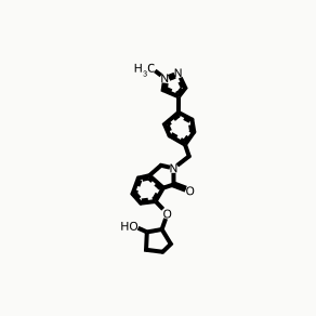 Cn1cc(-c2ccc(CN3Cc4cccc(OC5CCCC5O)c4C3=O)cc2)cn1